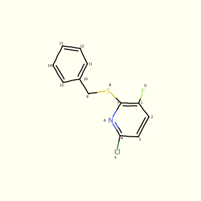 Fc1ccc(Cl)nc1SCc1ccccc1